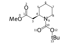 COC(=O)C[C@H]1CCCCN1C(=O)OC(C)(C)C